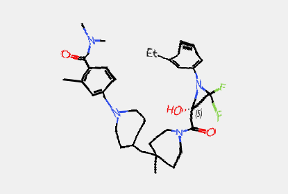 CCc1cccc(N2C(F)(F)[C@@]2(O)C(=O)N2CCC(C)(CC3CCN(c4ccc(C(=O)N(C)C)c(C)c4)CC3)CC2)c1